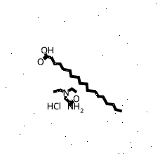 CCCCCCCCCCCCCCCCCC(=O)O.CCN(CC)CC(N)=O.Cl